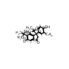 Cc1cc(C(CC(=O)O)(c2ccc(O)c(C(C)(C)C)c2)C(C)(C)C)ccc1O